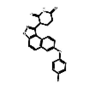 O=C1CCC(c2noc3ccc4cc(Oc5ccc(F)cc5)ccc4c23)C(=O)N1